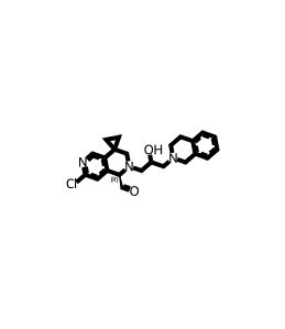 O=C[C@H]1c2cc(Cl)ncc2C2(CC2)CN1CC(O)CN1CCc2ccccc2C1